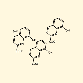 O=C([O-])c1ccc2cccc(O)c2n1.O=C([O-])c1ccc2cccc(O)c2n1.O=C([O-])c1ccc2cccc(O)c2n1.[Eu+3]